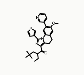 CCC(CC(C)(C)C)C(=O)c1nc(-c2ccsc2)n2c1CCc1cc(OC)c(-c3cccnc3)cc1-2